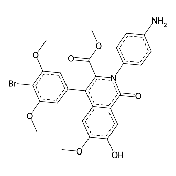 COC(=O)c1c(-c2cc(OC)c(Br)c(OC)c2)c2cc(OC)c(O)cc2c(=O)n1-c1ccc(N)cc1